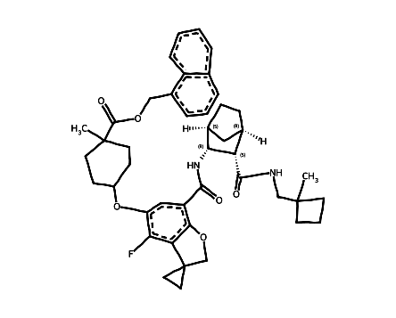 CC1(CNC(=O)[C@H]2[C@@H]3CC[C@@H](C3)[C@H]2NC(=O)c2cc(OC3CCC(C)(C(=O)OCc4cccc5ccccc45)CC3)c(F)c3c2OCC32CC2)CCC1